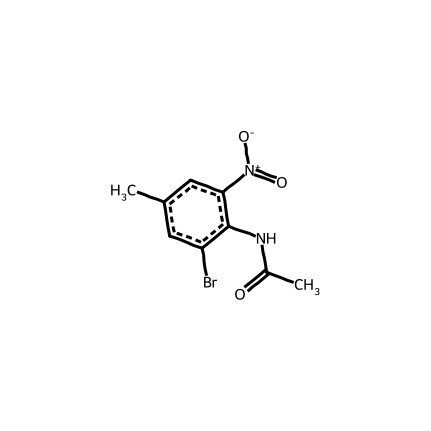 CC(=O)Nc1c(Br)cc(C)cc1[N+](=O)[O-]